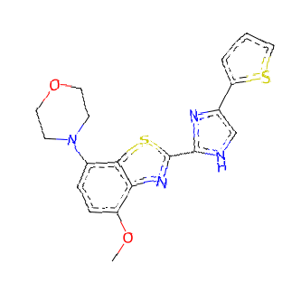 COc1ccc(N2CCOCC2)c2sc(-c3nc(-c4cccs4)c[nH]3)nc12